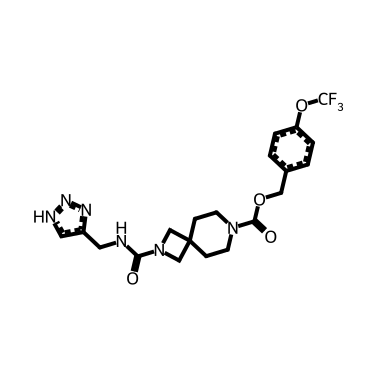 O=C(NCc1c[nH]nn1)N1CC2(CCN(C(=O)OCc3ccc(OC(F)(F)F)cc3)CC2)C1